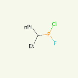 CCCC(CC)P(F)Cl